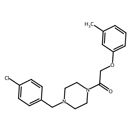 Cc1cccc(OCC(=O)N2CCN(Cc3ccc(Cl)cc3)CC2)c1